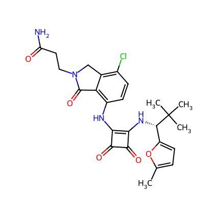 Cc1ccc([C@H](Nc2c(Nc3ccc(Cl)c4c3C(=O)N(CCC(N)=O)C4)c(=O)c2=O)C(C)(C)C)o1